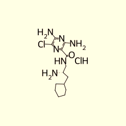 Cl.Nc1nc(N)c(C(=O)NC[C@@H](N)CC2CCCCC2)nc1Cl